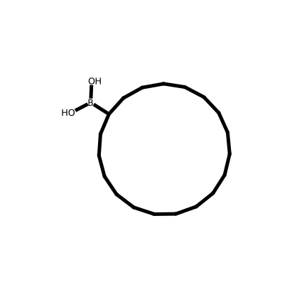 OB(O)C1CCCCCCCCCCCCCCCCCC1